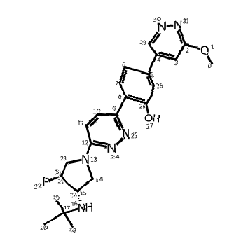 COc1cc(-c2ccc(-c3ccc(N4C[C@H](NC(C)(C)C)[C@@H](F)C4)nn3)c(O)c2)cnn1